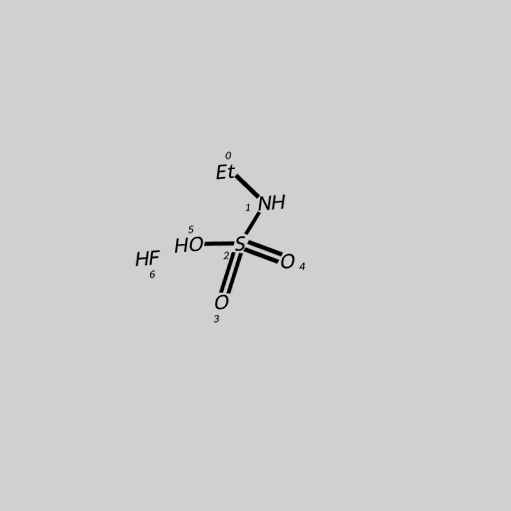 CCNS(=O)(=O)O.F